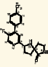 O=C1NCC[C@]12CC[C@@H](c1cc(-c3ccc(C(F)(F)F)cc3)c(F)cn1)N2